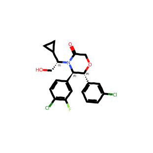 O=C1CO[C@H](c2cccc(Cl)c2)[C@@H](c2ccc(Cl)c(F)c2)N1[C@H](CO)C1CC1